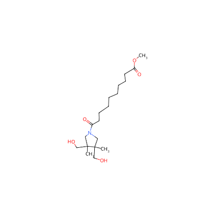 COC(=O)CCCCCCCCC(=O)N1CC(C)(CO)C(C)(CO)C1